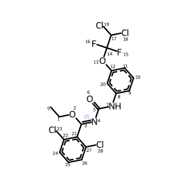 CCO/C(=N\C(=O)Nc1cccc(OC(F)(F)C(Cl)Cl)c1)c1c(Cl)cccc1Cl